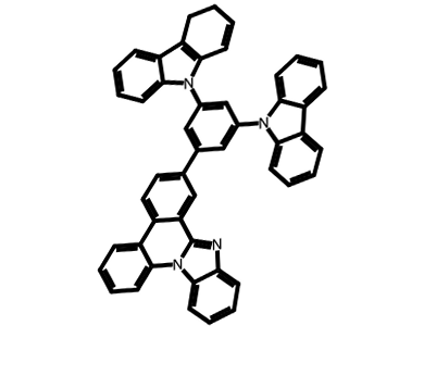 C1=Cc2c(c3ccccc3n2-c2cc(-c3ccc4c5ccccc5n5c6ccccc6nc5c4c3)cc(-n3c4ccccc4c4ccccc43)c2)CC1